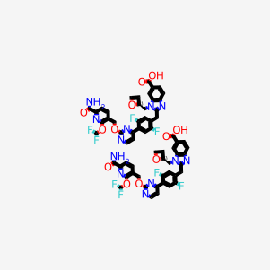 NC(=O)c1ccc(COc2nccc(-c3cc(F)c(Cc4nc5ccc(C(=O)O)cc5n4C[C@@H]4CCO4)cc3F)n2)c(OC(F)F)n1.NC(=O)c1ccc(COc2nccc(-c3cc(F)c(Cc4nc5ccc(C(=O)O)cc5n4C[C@@H]4CCO4)cc3F)n2)c(OC(F)F)n1